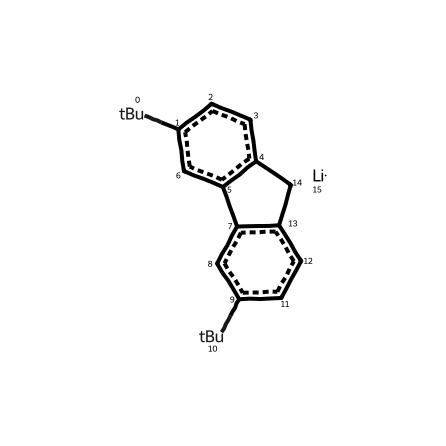 CC(C)(C)c1ccc2c(c1)-c1cc(C(C)(C)C)ccc1C2.[Li]